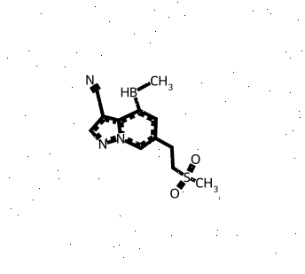 CBc1cc(CCS(C)(=O)=O)cn2ncc(C#N)c12